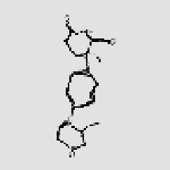 CC1CNCCN1c1ccc([C@@]2(C)CCC(=O)NC2=O)cc1